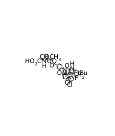 COc1cc(C(=O)OC(C)OC(=O)N[C@@H](C)C(=O)O)ccc1NC(=O)[C@@H]1N[C@@H](CC(C)(C)C)[C@](C)(c2ccc(Cl)cc2F)[C@H]1c1cccc(Cl)c1F